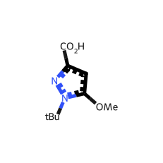 COc1cc(C(=O)O)nn1C(C)(C)C